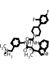 C[C@H](c1c[nH]c2ccccc12)[C@@H](NC(=O)N1CCC(c2ccc(F)cc2F)CC1)C(=O)Nc1cccc(CN(C)C)c1